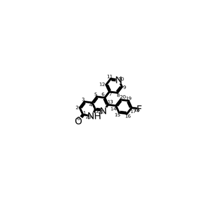 O=c1ccc2cc(-c3ccncc3)c(-c3ccc(F)cc3)nc2[nH]1